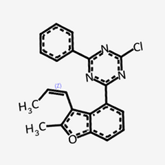 C/C=C\c1c(C)oc2cccc(-c3nc(Cl)nc(-c4ccccc4)n3)c12